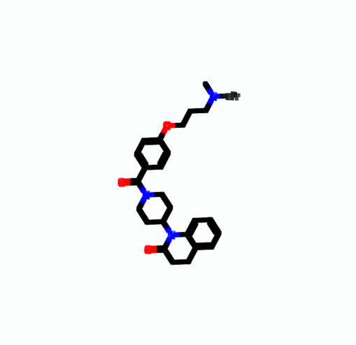 CCCN(C)CCCOc1ccc(C(=O)N2CCC(N3C(=O)CCc4ccccc43)CC2)cc1